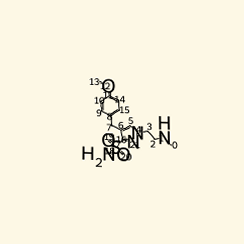 CNCCn1cc(Cc2ccc(OC)cc2)c(S(N)(=O)=O)n1